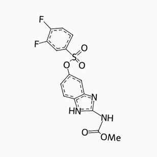 COC(=O)Nc1nc2cc(OS(=O)(=O)c3ccc(F)c(F)c3)ccc2[nH]1